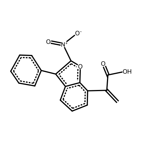 C=C(C(=O)O)c1cccc2c(-c3ccccc3)c([N+](=O)[O-])oc12